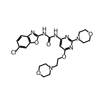 O=C(Nc1cc(OCCN2CCOCC2)nc(N2CCOCC2)n1)Nc1nc2ccc(Cl)cc2o1